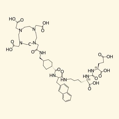 O=C(O)CC[C@H](NC(=O)N[C@@H](CCCCNC(=O)C(Cc1ccc2ccccc2c1)NC(=O)[C@H]1CC[C@H](CNC(=O)CN2CCN(CC(=O)O)CCN(CC(=O)O)CCN(CC(=O)O)CC2)CC1)C(=O)O)C(=O)O